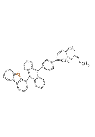 C=C(/C=C\C=C/CC)/C=C\C(=C)c1ccc(-c2c3ccccc3c(-c3cccc4c3sc3ccccc34)c3ccccc23)cc1